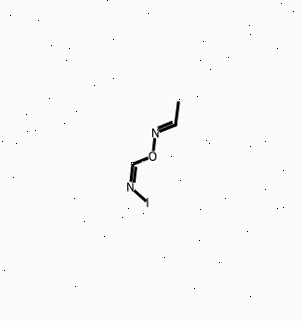 C/C=N/O/C=N\I